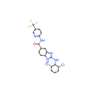 O=C(Nc1ccc(C(F)(F)F)cn1)c1ccc2[nH]c(Nc3c(Cl)cccc3Cl)nc2c1